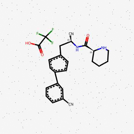 N#Cc1cccc(-c2ccc(C[C@@H](C#N)NC(=O)[C@@H]3CCCCN3)cc2)c1.O=C(O)C(F)(F)F